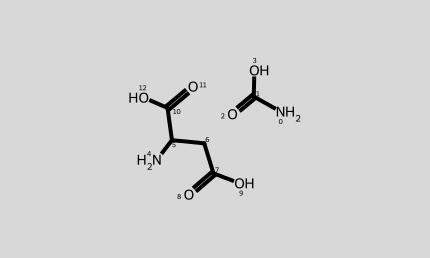 NC(=O)O.NC(CC(=O)O)C(=O)O